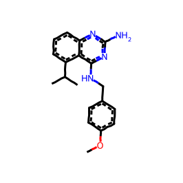 COc1ccc(CNc2nc(N)nc3cccc(C(C)C)c23)cc1